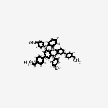 C=Cc1ccc(-c2ccc3c(c2)N(c2ccc(C(C)(C)C)cc2)c2cc(-c4ccc(C=C)cc4)cc4c2B3c2ccccc2N4c2ccc(C(C)(C)C)cc2)cc1